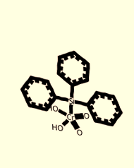 [O]=[Cr](=[O])([OH])([OH])[Si](c1ccccc1)(c1ccccc1)c1ccccc1